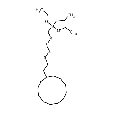 CCO[Si](CSSSSCCC1CCCCCCCCCCC1)(OCC)OCC